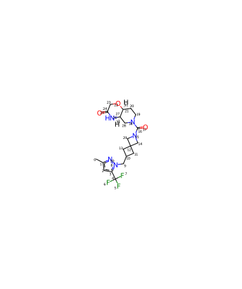 Cc1cc(C(F)(F)F)n(CC2CC3(C2)CN(C(=O)N2CC[C@@H]4OCC(=O)N[C@@H]4C2)C3)n1